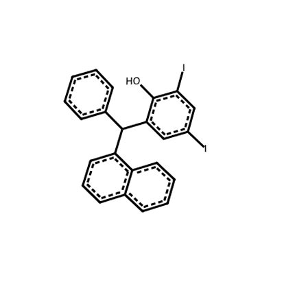 Oc1c(I)cc(I)cc1C(c1ccccc1)c1cccc2ccccc12